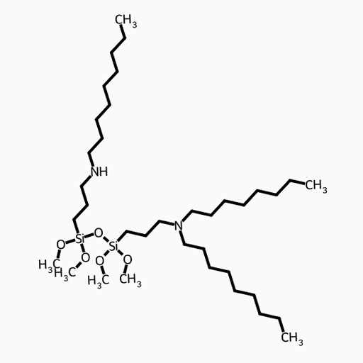 CCCCCCCCCNCCC[Si](OC)(OC)O[Si](CCCN(CCCCCCCC)CCCCCCCCC)(OC)OC